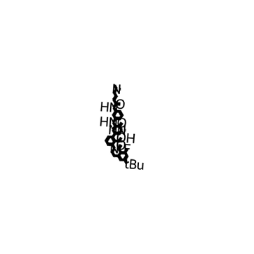 CN(C)C/C=C/C(=O)Nc1cccc(Nc2nc(-c3cccc(N4CCc5cc(C(C)(C)C)cc(F)c5C4=O)c3CO)cn(C)c2=O)c1